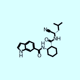 CC(C)C[C@@H](C#N)NC(=O)[C@@H]1CCCC[C@@H]1NC(=O)c1ccc2cc[nH]c2c1